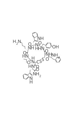 CC(C)[C@@H]1NC(=O)[C@H](CCCCN)NC(=O)[C@H](Cc2c[nH]c3ccccc23)NC(=O)[C@@H](Cc2ccc(O)cc2)NC(=O)[C@@H](NC(=O)[C@H](N)Cc2ccccc2)CSSC[C@@H](C(=O)N[C@@H](Cc2c[nH]c3ccccc23)C(N)=O)NC1=O